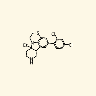 CCC12CCNCC1c1cc(-c3ccc(Cl)cc3Cl)cc3c1N2CCS3